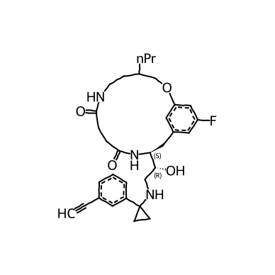 C#Cc1cccc(C2(NC[C@@H](O)[C@@H]3Cc4cc(F)cc(c4)OCC(CCC)CCNC(=O)CCC(=O)N3)CC2)c1